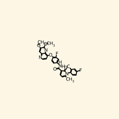 COc1cc2nccc(Oc3ccc(NC(=O)c4ccc(C)n(-c5ccc(F)cc5C)c4=O)cc3F)c2nc1OC